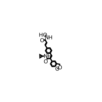 O=C(C=Cc1ccc(C=C(C(=O)NC2CC2)c2ccc3c(c2)COO3)cc1)NO